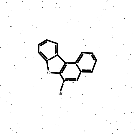 Brc1cc2ccccc2c2c1oc1ccccc12